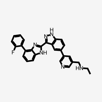 CCNCc1cncc(-c2ccc3[nH]nc(-c4nc5c(-c6ccccc6F)cccc5[nH]4)c3c2)c1